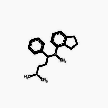 CN(C)CCC(c1ccccc1)N(C)c1cccc2c1CCC2